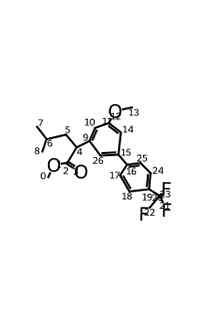 COC(=O)C(CC(C)C)c1cc(OC)cc(-c2ccc(C(F)(F)F)cc2)c1